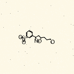 O=CCCC1CC(c2cccc([N+](=O)[O-])c2)=NO1